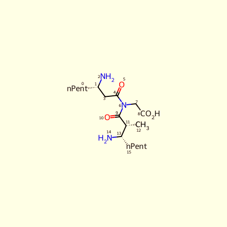 CCCCC[C@H](N)CC(=O)N(CC(=O)O)C(=O)[C@H](C)[C@@H](N)CCCCC